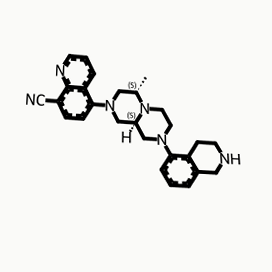 C[C@H]1CN(c2ccc(C#N)c3ncccc23)C[C@@H]2CN(c3cccc4c3CCNC4)CCN21